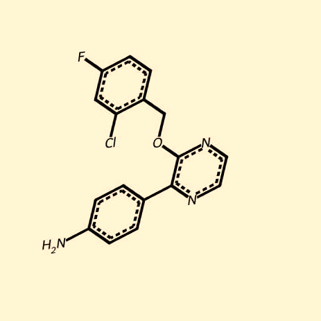 Nc1ccc(-c2nccnc2OCc2ccc(F)cc2Cl)cc1